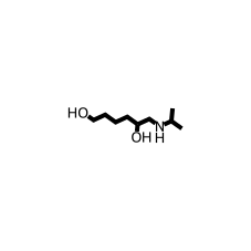 CC(C)NCC(O)CCCCO